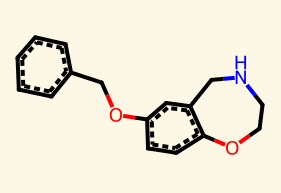 c1ccc(COc2ccc3c(c2)CNCCO3)cc1